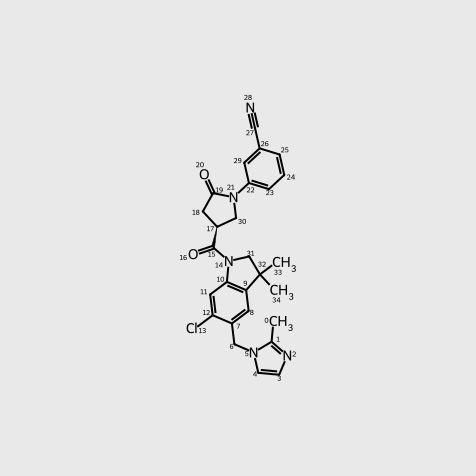 Cc1nccn1Cc1cc2c(cc1Cl)N(C(=O)[C@H]1CC(=O)N(c3cccc(C#N)c3)C1)CC2(C)C